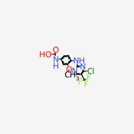 COc1cc(NC(=O)O)ccc1Nc1ncc(C(F)(F)F)c(Cl)n1